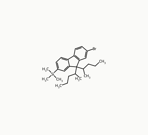 CCCC(C)C1(C(C)CCC)c2cc(Br)ccc2-c2ccc([Si](C)(C)C)cc21